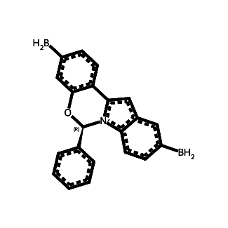 Bc1ccc2c(c1)O[C@H](c1ccccc1)n1c-2cc2cc(B)ccc21